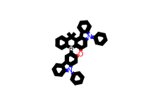 CC1(C)c2ccccc2B2c3cc4c5ccccc5n(-c5ccccc5)c4cc3Oc3cc4c(c1c32)c1ccccc1n4-c1ccccc1